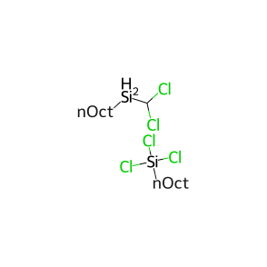 CCCCCCCC[SiH2]C(Cl)Cl.CCCCCCCC[Si](Cl)(Cl)Cl